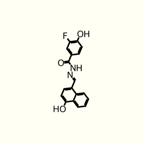 O=C(N/N=C/c1ccc(O)c2ccccc12)c1ccc(O)c(F)c1